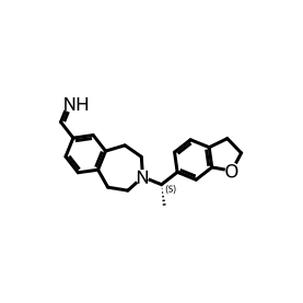 C[C@@H](c1ccc2c(c1)OCC2)N1CCc2ccc(C=N)cc2CC1